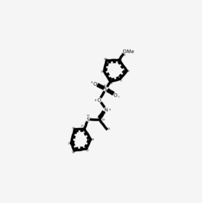 COc1ccc(S(=O)(=O)O/N=C(/C)Sc2ccccc2)cc1